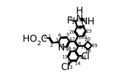 O=C(O)/C=C/c1ccc(/C(=C(\c2ccc(Cl)cc2Cl)C2CCC2)c2ccc3c(c2)C(F)NN3)cn1